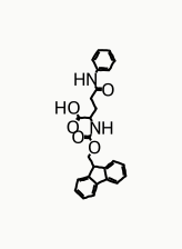 O=C(CCC(NC(=O)OCC1c2ccccc2-c2ccccc21)C(=O)O)Nc1ccccc1